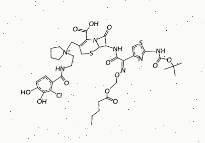 CCCCC(=O)OCO/N=C(\C(=O)NC1C(=O)N2C(C(=O)O)=C(C[N+]3(CCNC(=O)c4ccc(O)c(O)c4Cl)CCCC3)CSC12)c1csc(NC(=O)OC(C)(C)C)n1